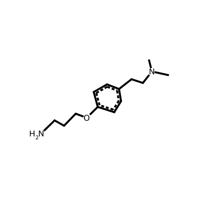 CN(C)CCc1ccc(OCCCN)cc1